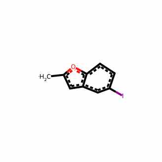 [CH2]c1cc2cc(I)ccc2o1